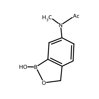 CC(=O)N(C)c1ccc2c(c1)B(O)OC2